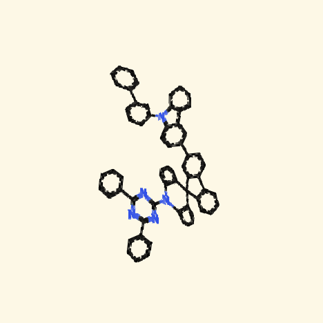 c1ccc(-c2cccc(-n3c4ccccc4c4cc(-c5ccc6c(c5)C5(c7ccccc7-6)c6ccccc6N(c6nc(-c7ccccc7)nc(-c7ccccc7)n6)c6ccccc65)ccc43)c2)cc1